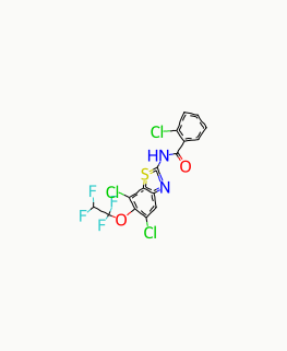 O=C(Nc1nc2cc(Cl)c(OC(F)(F)C(F)F)c(Cl)c2s1)c1ccccc1Cl